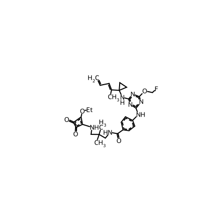 C=C/C=C(\C)C1(Nc2nc(Nc3ccc(C(=O)NCC(C)(C)CNc4c(OCC)c(=O)c4=O)cc3)nc(OCF)n2)CC1